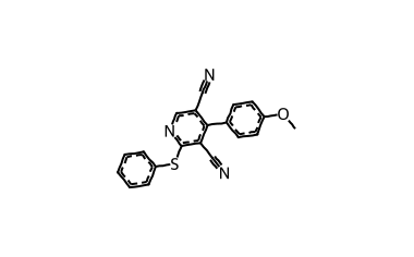 COc1ccc(-c2c(C#N)cnc(Sc3ccccc3)c2C#N)cc1